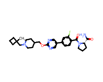 CC1(CN2CCC(COc3ncc(-c4ccc(C(=O)N5CCC[C@H]5C(N)=O)c(F)c4)cn3)CC2)CCC1